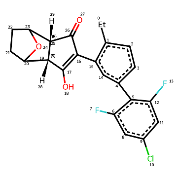 CCc1ccc(-c2c(F)cc(Cl)cc2F)cc1C1=C(O)[C@@H]2C3CCC(O3)[C@@H]2C1=O